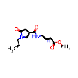 C=CCN1CC(C(=O)NC/C=C/C(=O)OC)CC1=O